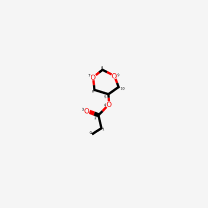 CCC(=O)OC1COCOC1